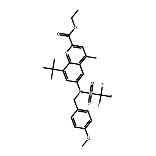 CCOC(=O)c1cc(C)c2cc(N(Cc3ccc(OC)cc3)S(=O)(=O)C(F)(F)F)cc(C(C)(C)C)c2n1